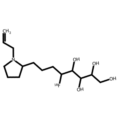 C=CCN1CCCC1CCCC([18F])C(O)C(O)C(O)CO